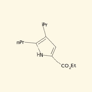 CCCc1[nH]c(C(=O)OCC)cc1C(C)C